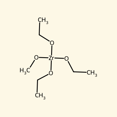 CC[O][Zr]([O]C)([O]CC)[O]CC